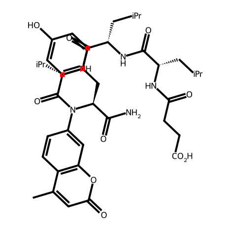 Cc1cc(=O)oc2cc(N(C(=O)[C@@H](NC(=O)[C@H](CC(C)C)NC(=O)[C@H](CC(C)C)NC(=O)CCC(=O)O)C(C)C)[C@@H](Cc3ccc(O)cc3)C(N)=O)ccc12